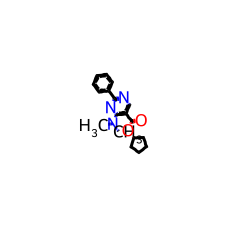 CN(C)c1nc(-c2ccccc2)ncc1C(=O)OC1CCCC1